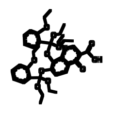 CCOc1ccccc1C(OCC)(OCC)Oc1ccc2c(=O)c(C(=O)O)cn(CC)c2c1OC(OCC)(OCC)c1ccccc1OCC